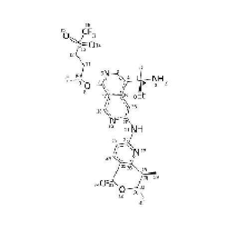 CC[C@@](C)(N)c1cnc(O[C@H](C)CCS(=O)(=O)C(F)(F)F)c2cnc(Nc3ccc4c(n3)[C@@H](C)[C@H](C)OC4=O)cc12